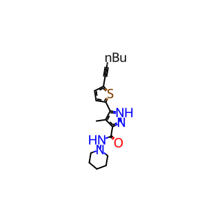 CCCCC#Cc1ccc(-c2[nH]nc(C(=O)NN3CCCCC3)c2C)s1